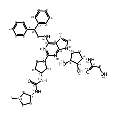 CN1CC[C@@H](NC(=O)N[C@@H]2CCN(c3nc(NCC(c4ccccc4)c4ccccc4)c4ncn([C@@H]5C[C@H](NC(=O)CO)[C@@H](O)[C@H]5O)c4n3)C2)C1